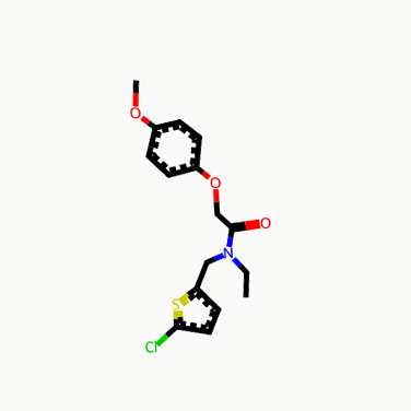 CCN(Cc1ccc(Cl)s1)C(=O)COc1ccc(OC)cc1